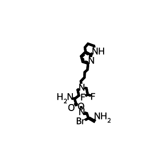 N/C=C(Br)\C=N\OC(=O)C(N)CCN(CCCCc1ccc2c(n1)NCCC2)CC(F)F